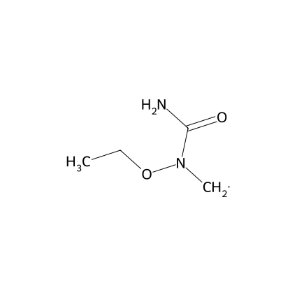 [CH2]N(OCC)C(N)=O